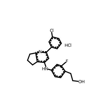 Cl.OCCc1ccc(Nc2cc(-c3cccc(Cl)c3)nc3c2CCC3)cc1F